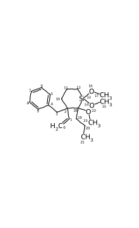 C=CC1(Cc2ccccc2)CCC[Si](OC)(OC)C1(CCC)OC